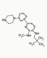 CNc1nc(-c2cccc(N3CCNCC3)c2)ccc1NCC(C)(C)C